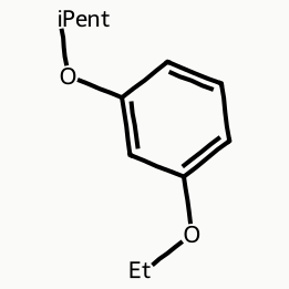 CCCC(C)Oc1cccc(OCC)c1